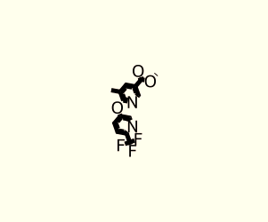 COC(=O)c1cnc(Oc2ccc(C(F)(F)F)nc2)c(C)c1